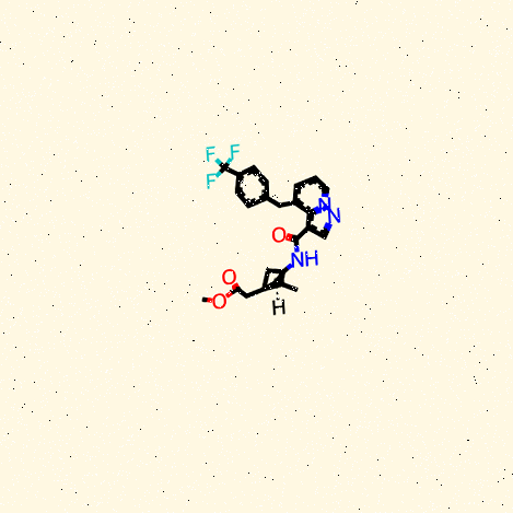 COC(=O)CC12CC(NC(=O)c3cnn4cccc(Cc5ccc(C(F)(F)F)cc5)c34)(C1)[C@H]2C